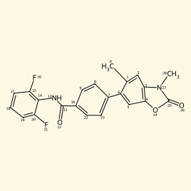 Cc1cc2c(cc1-c1ccc(C(=O)Nc3c(F)cccc3F)cc1)oc(=O)n2C